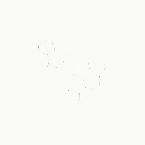 COC(=O)c1ccc2ccccc2c1OCC1COc2ccccc2O1